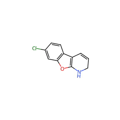 Clc1ccc2c3c(oc2c1)NCC=C3